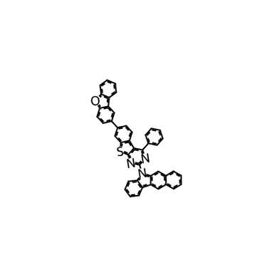 c1ccc(-c2nc(-n3c4ccccc4c4cc5ccccc5cc43)nc3sc4cc(-c5ccc6oc7ccccc7c6c5)ccc4c23)cc1